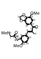 CNCC(=O)Nc1cc(C=C(C)C(=O)c2cc(OC)c3c(c2)OCO3)ccc1OC